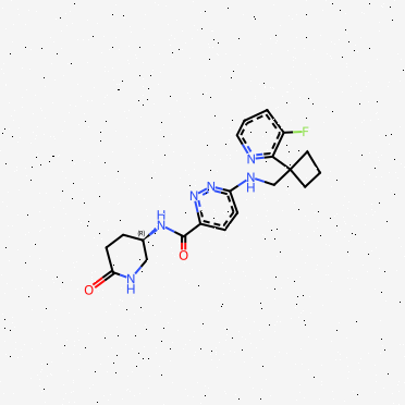 O=C1CC[C@@H](NC(=O)c2ccc(NCC3(c4ncccc4F)CCC3)nn2)CN1